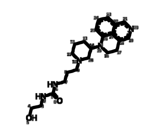 O=C(NCCO)NCCCN1CCCC(N2CCc3cncc4cccc2c34)C1